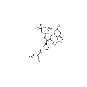 C=CC(=O)N1CC2(CCN(c3nc4c(c(-c5c(C)c(Cl)cc6cnn(C)c56)c3Cl)COC(C)(C)C4)C2)C1